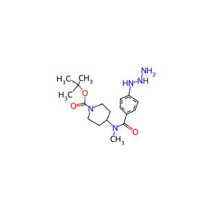 CN(C(=O)c1ccc(NNN)cc1)C1CCN(C(=O)OC(C)(C)C)CC1